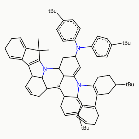 CC(C)(C)C1=CCC2B3C4CC=CC5C6=C(N(C7CC(N(c8ccc(C(C)(C)C)cc8)c8ccc(C(C)(C)C)cc8)C=C(C37)N(C3=C(C7=CC=CCC7)CC(C(C)(C)C)CC3)C2=C1)C45)C(C)(C)C1=CCCC=C16